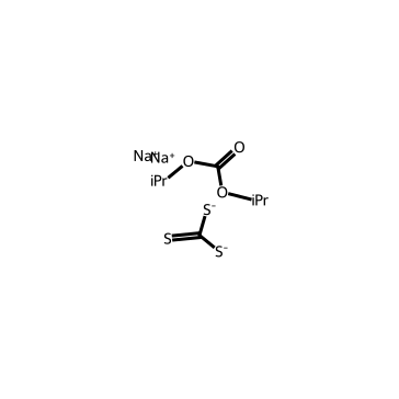 CC(C)OC(=O)OC(C)C.S=C([S-])[S-].[Na+].[Na+]